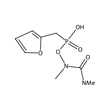 CNC(=O)N(C)OP(=O)(O)Cc1ccco1